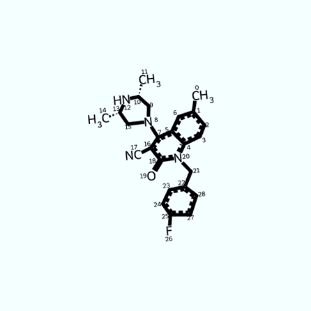 Cc1ccc2c(c1)c(N1C[C@@H](C)N[C@@H](C)C1)c(C#N)c(=O)n2Cc1ccc(F)cc1